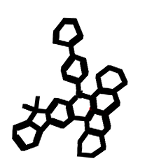 Cc1ccc2c(c1-c1cc3c(cc1N(c1ccc(-c4ccccc4)cc1)c1cccc4c1CCCC4)C(C)(C)c1ccccc1-3)CCCC2